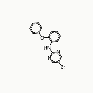 Brc1cnc(Nc2ccccc2Oc2ccccc2)nc1